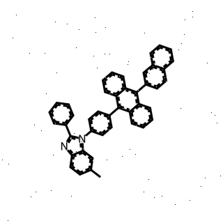 Cc1ccc2nc(-c3ccccc3)n(-c3ccc(-c4c5ccccc5c(-c5ccc6ccccc6c5)c5ccccc45)cc3)c2c1